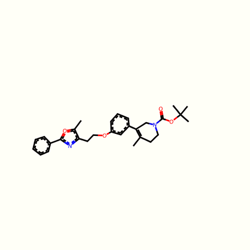 CC1=C(c2cccc(OCCc3nc(-c4ccccc4)oc3C)c2)CN(C(=O)OC(C)(C)C)CC1